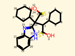 OC(=S)C(C1CCCCC1)C(C(O)=S)(c1nc2ccccc2[nH]1)C1CCCCC1